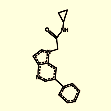 O=C(Cn1ccc2ncc(-c3ccccc3)cc21)NC1CC1